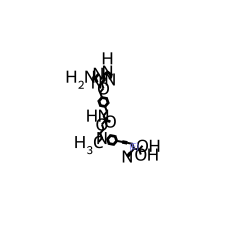 CN(CCOC(=O)NCc1ccc(COc2nc(N)nc3[nH]cnc23)cc1)c1ccc(C#C/C=C(\C#N)C(O)O)cc1